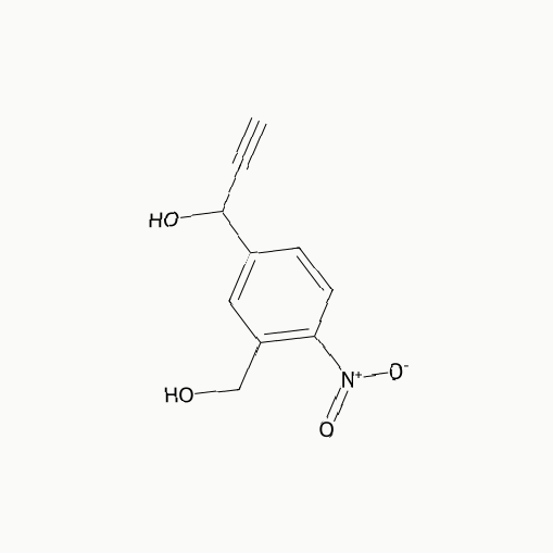 C#CC(O)c1ccc([N+](=O)[O-])c(CO)c1